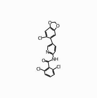 O=C(Nc1ccc(-c2cc3c(cc2Cl)OCO3)cn1)c1c(Cl)cccc1Cl